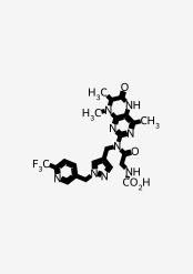 Cc1nc(N(Cc2cnn(Cc3ccc(C(F)(F)F)nc3)c2)C(=O)CNC(=O)O)nc2c1NC(=O)C(C)N2C